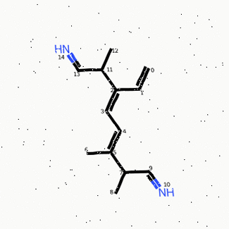 C=C/C(=C\C=C(/C)C(C)C=N)C(C)C=N